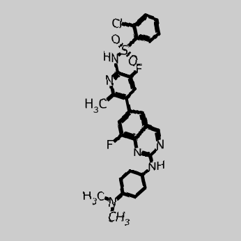 Cc1nc(NS(=O)(=O)c2ccccc2Cl)c(F)cc1-c1cc(F)c2nc(NC3CCC(N(C)C)CC3)ncc2c1